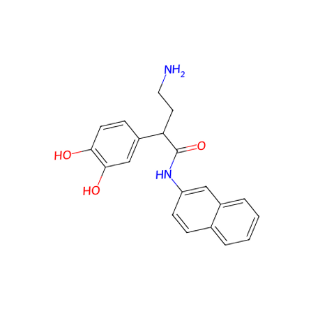 NCCC(C(=O)Nc1ccc2ccccc2c1)c1ccc(O)c(O)c1